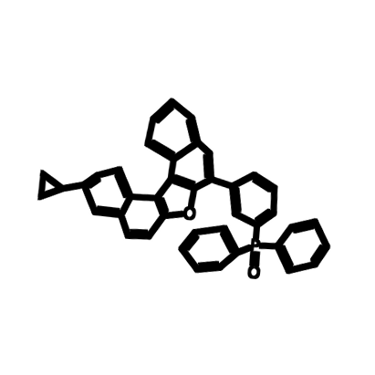 O=P(c1ccccc1)(c1ccccc1)c1cccc(-c2cc3ccccc3c3c2oc2ccc4cc(C5CC5)ccc4c23)c1